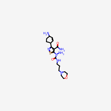 NC(=O)c1c(C2C=CC(N)CC2)nsc1N(N)C(=O)NCCCN1CCOCC1